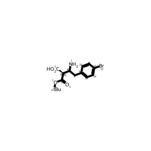 CC(C)(C)OC(=O)[C@@H](C(=O)O)C(N)Cc1ccc(Br)cc1